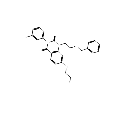 O=c1c2ccc(NCCO)cc2n(CCOCc2ccccc2)c(=O)n1-c1cccc(Cl)c1